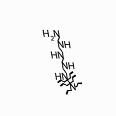 C=CCN(CC=C)C(CC=C)(CC=C)C(CC=C)(CC=C)NCCNCCNCCNCCN